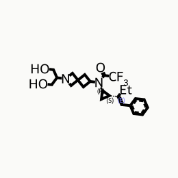 CC/C(=C\c1ccccc1)[C@@H]1C[C@H]1N(C(=O)C(F)(F)F)C1CC2(C1)CN(C(CO)CO)C2